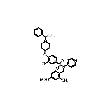 COc1ccc(CN(c2ccncn2)S(=O)(=O)c2ccc(OC3CCN([C@H](C)c4ccccc4)CC3)c(Cl)c2)c(C)c1